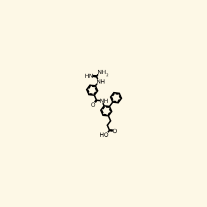 N=C(N)Nc1cccc(C(=O)Nc2ccc(CCC(=O)O)cc2-c2ccccc2)c1